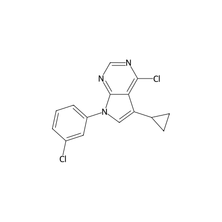 Clc1cccc(-n2cc(C3CC3)c3c(Cl)ncnc32)c1